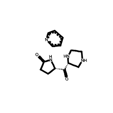 O=C1CC[C@@H](C(=O)[C@H]2CNCCN2)N1.c1ccncc1